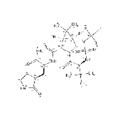 CC(C)(C)[C@H](NS(=O)(=O)CC(F)(F)F)C(=O)N1C[C@H]2[C@@H]([C@H]1C(=O)N[C@@H](C[C@@H]1CCNC1=O)C(N)=O)C2(C)C